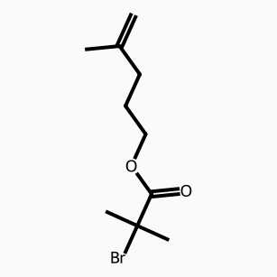 C=C(C)CCCOC(=O)C(C)(C)Br